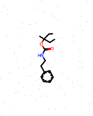 CCC(C)(CC)OC(=O)NCCc1ccccc1